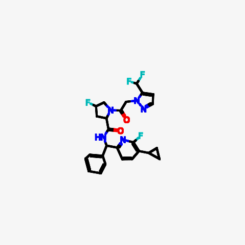 O=C(NC(c1ccccc1)c1ccc(C2CC2)c(F)n1)C1CC(F)CN1C(=O)Cn1nccc1C(F)F